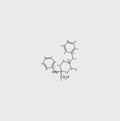 CC1CC(Nc2ccccc2)(C(=O)O)CCN1Cc1ccccc1